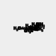 CCCCCCC(=O)NCc1cn(C(C)(C)CCOC(C)(C)CCC(C)(C)C)nn1